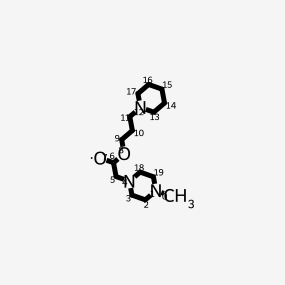 CN1CCN(CC([O])OCCCN2CCCCC2)CC1